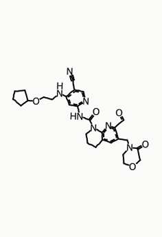 N#Cc1cnc(NC(=O)N2CCCc3cc(CN4CCOCC4=O)c(C=O)nc32)cc1NCCOC1CCCC1